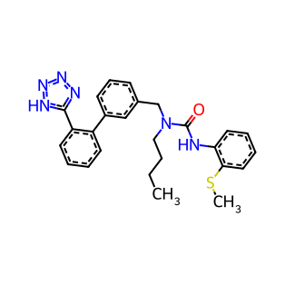 CCCCN(Cc1cccc(-c2ccccc2-c2nnn[nH]2)c1)C(=O)Nc1ccccc1SC